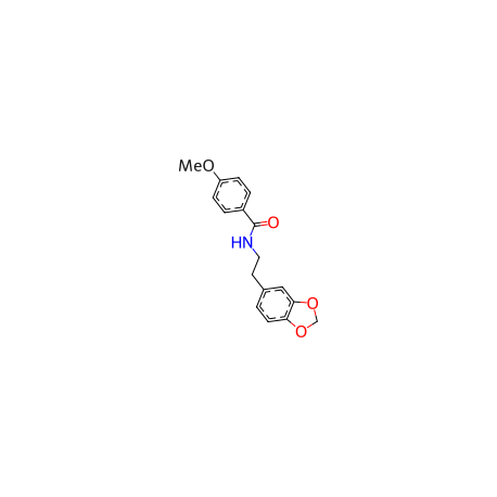 COc1ccc(C(=O)NCCc2ccc3c(c2)OCO3)cc1